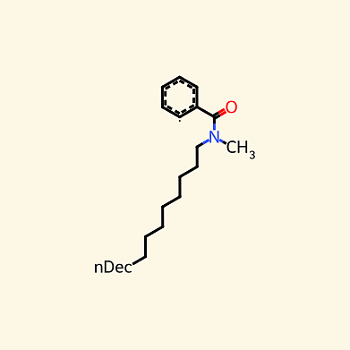 CCCCCCCCCCCCCCCCCCN(C)C(=O)c1[c]cccc1